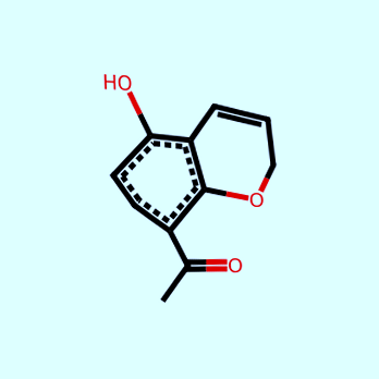 CC(=O)c1ccc(O)c2c1OCC=C2